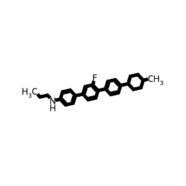 CCCNc1ccc(-c2ccc(-c3ccc(C4CCC(C)CC4)cc3)c(F)c2)cc1